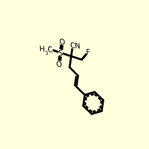 CS(=O)(=O)C(C#N)(CF)C/C=C/c1ccccc1